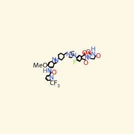 COc1cc2nn(C3CCC(CN4CCN(c5cc6c(cc5F)C(=O)N(N5CCC(=O)NC5=O)C6=O)CC4)CC3)cc2cc1NC(=O)c1cccc(C(F)(F)F)n1